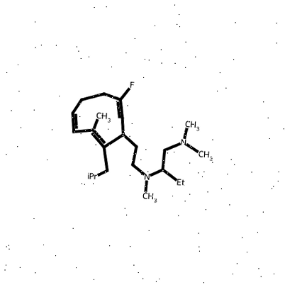 CCC(CN(C)C)N(C)CCC1C=C(F)CC/C=C\C(C)=C\1CC(C)C